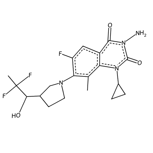 Cc1c(N2CCC(C(O)C(C)(F)F)C2)c(F)cc2c(=O)n(N)c(=O)n(C3CC3)c12